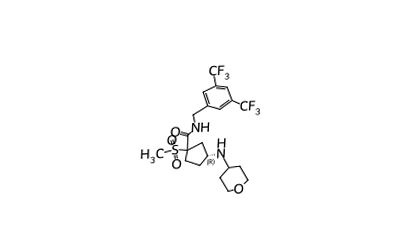 CS(=O)(=O)C1(C(=O)NCc2cc(C(F)(F)F)cc(C(F)(F)F)c2)CC[C@@H](NC2CCOCC2)C1